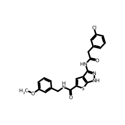 COc1cccc(CNC(=O)c2cc3c(NC(=O)Cc4cccc(Cl)c4)n[nH]c3s2)c1